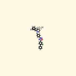 O=C(O)C1(C(=O)O)CCCN(Cc2ccc(-c3noc(-c4ccc(-c5ccccc5)c(F)c4)n3)cc2)C1Cc1ccccc1